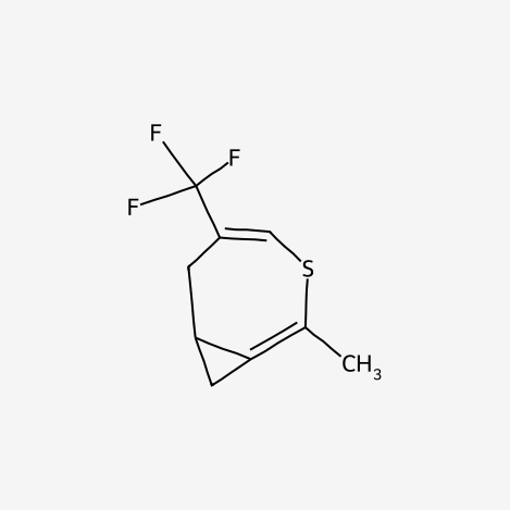 CC1=C2CC2CC(C(F)(F)F)=CS1